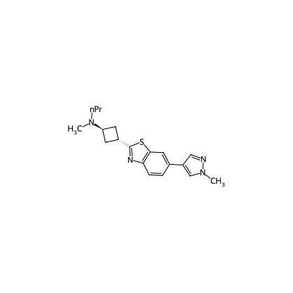 CCCN(C)[C@H]1C[C@H](c2nc3ccc(-c4cnn(C)c4)cc3s2)C1